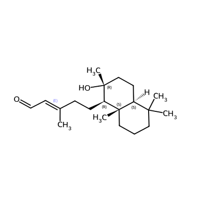 C/C(=C\C=O)CC[C@@H]1[C@@]2(C)CCCC(C)(C)[C@@H]2CC[C@@]1(C)O